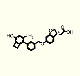 Cc1cc(O)c2c(c1-c1cccc(COc3ccc4c(c3)OC[C@H]4CC(=O)O)c1)CC2